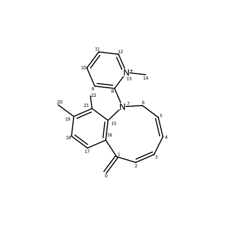 C=C1/C=C\C=C/CN(c2cccc[n+]2C)c2c1ccc(C)c2C